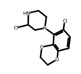 Clc1ccc2c(c1N1CCNC(Cl)C1)OCCO2